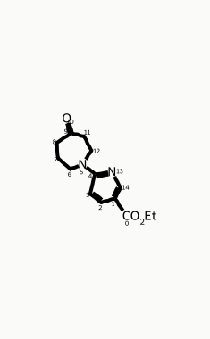 CCOC(=O)c1ccc(N2CCCC(=O)CC2)nc1